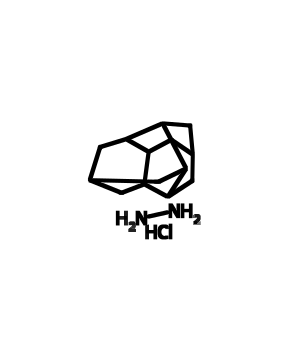 C1C2CC3C4CC5CC(C14)C(C2)C3C5.Cl.NN